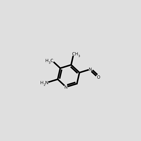 Cc1c(N=O)cnc(N)c1C